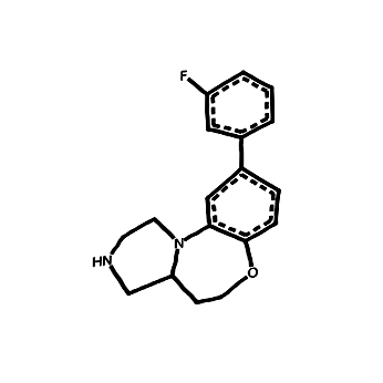 Fc1cccc(-c2ccc3c(c2)N2CCNCC2CCO3)c1